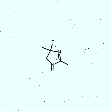 CC1=NC(C)(F)CN1